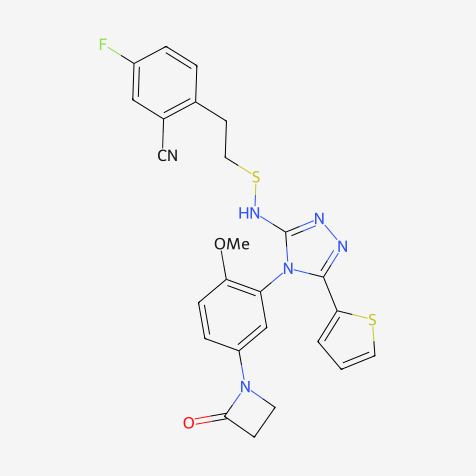 COc1ccc(N2CCC2=O)cc1-n1c(NSCCc2ccc(F)cc2C#N)nnc1-c1cccs1